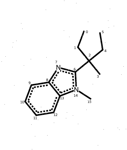 CCC(C)(CC)c1nc2ccccc2n1C